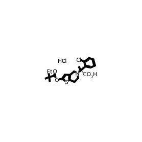 CCC(C)(C)C(=O)Oc1cc2c(s1)CCN([C@](C)(C(=O)O)c1ccccc1Cl)C2.Cl